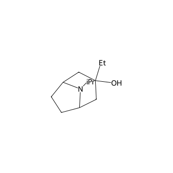 CCC1(O)CC2CCC(C1)N2C(C)C